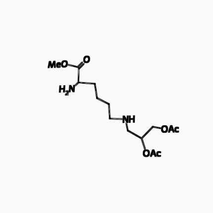 COC(=O)C(N)CCCCNCC(COC(C)=O)OC(C)=O